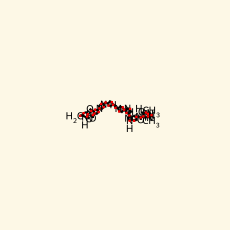 C=C1CCC(N2C(=O)c3ccc(N4CCN(CC5CCN(CCN6CCN(c7cc(-c8n[nH]c9ccc(NC(=O)C%10=C(C)N(C)c%11nnnn%11[C@H]%10C)cc89)ccn7)CC6)CC5)CC4)cc3C2=O)C(=O)N1